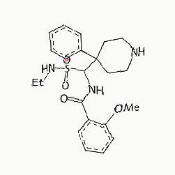 CCNS(=O)(=O)C(NC(=O)c1ccccc1OC)C1(c2ccccc2)CCNCC1